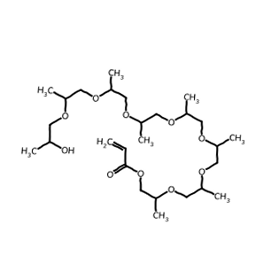 C=CC(=O)OCC(C)OCC(C)OCC(C)OCC(C)OCC(C)OCC(C)OCC(C)OCC(C)O